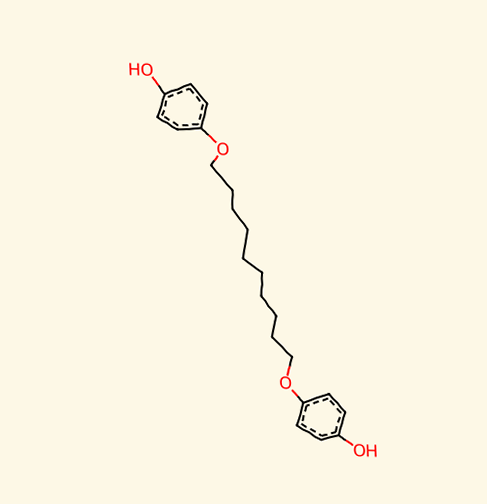 Oc1ccc(OCCCCCCCCCCOc2ccc(O)cc2)cc1